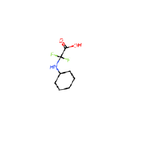 O=C(O)C(F)(F)NC1CCCCC1